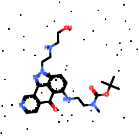 CN(CCNc1ccc2c3c(nn2CCNCCO)-c2cnccc2C(=O)c13)C(=O)OC(C)(C)C